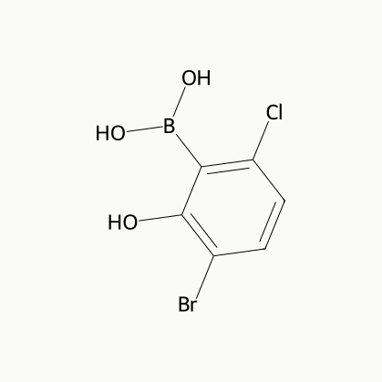 OB(O)c1c(Cl)ccc(Br)c1O